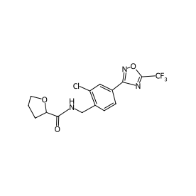 O=C(NCc1ccc(-c2noc(C(F)(F)F)n2)cc1Cl)C1CCCO1